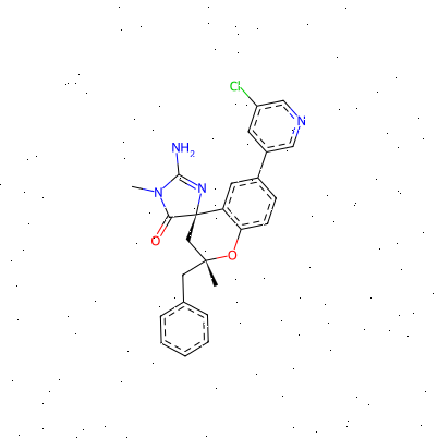 CN1C(=O)[C@]2(C[C@@](C)(Cc3ccccc3)Oc3ccc(-c4cncc(Cl)c4)cc32)N=C1N